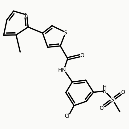 Cc1cccnc1-c1csc(C(=O)Nc2cc(Cl)cc(NS(C)(=O)=O)c2)c1